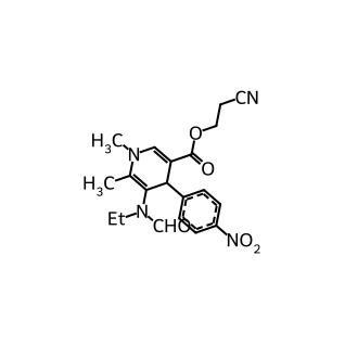 CCN(C=O)C1=C(C)N(C)C=C(C(=O)OCCC#N)C1c1ccc([N+](=O)[O-])cc1